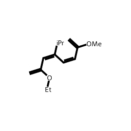 C=C(/C=C\C(=C/C(=C)OCC)C(C)C)OC